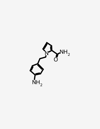 NC(=O)c1cccn1CCc1ccc(N)cc1